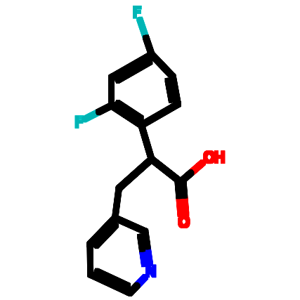 O=C(O)C(Cc1cccnc1)c1ccc(F)cc1F